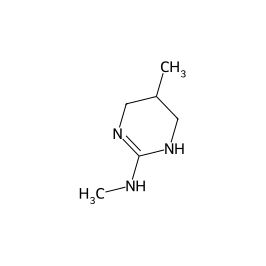 CNC1=NCC(C)CN1